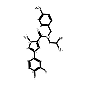 COc1ccc(CN(CC(O)C(F)(F)F)C(=O)c2cc(-c3ccc(F)c(Cl)c3)nn2N)cc1